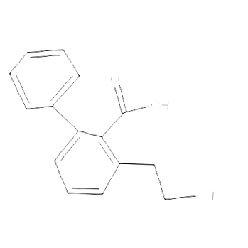 CCCc1cccc(-c2ccccc2)c1C(=O)O